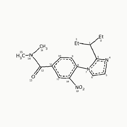 CCC(CC)c1nccn1-c1ccc(C(=O)N(C)C)cc1[N+](=O)[O-]